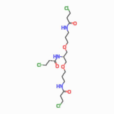 O=C(CCCl)NCCCOCC(COCCCNC(=O)CCCl)NC(=O)CCCl